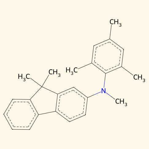 Cc1cc(C)c(N(C)c2ccc3c(c2)C(C)(C)c2ccccc2-3)c(C)c1